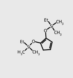 CC[Si](C)(C)OC1=C(O[Si](C)(C)CC)CC=C1